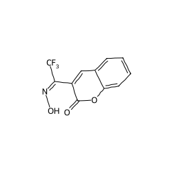 O=c1oc2ccccc2cc1/C(=N\O)C(F)(F)F